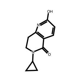 O=C1c2ccc(O)nc2CCN1C1CC1